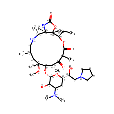 CC[C@H]1OC(=O)C(C)C(=O)[C@H](C)[C@@H](O[C@@H]2O[C@H](C(O)CN3CCCC3)CC(N(C)C)C2O)[C@](C)(OC)C[C@@H](C)CN[C@H](C)[C@H]2NC(=O)O[C@@]21C